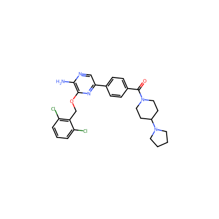 Nc1ncc(-c2ccc(C(=O)N3CCC(N4CCCC4)CC3)cc2)nc1OCc1c(Cl)cccc1Cl